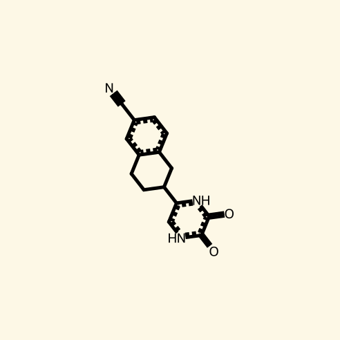 N#Cc1ccc2c(c1)CCC(c1c[nH]c(=O)c(=O)[nH]1)C2